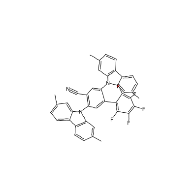 Cc1ccc2c3ccc(C)cc3n(-c3cc(-c4c(F)c(F)c(F)c(F)c4F)c(-n4c5cc(C)ccc5c5ccc(C)cc54)cc3C#N)c2c1